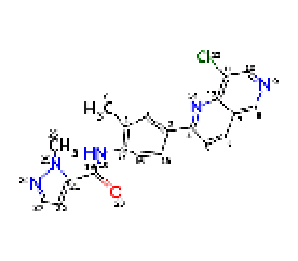 Cc1cc(-c2ccc3cncc(Cl)c3n2)ccc1NC(=O)c1ccnn1C